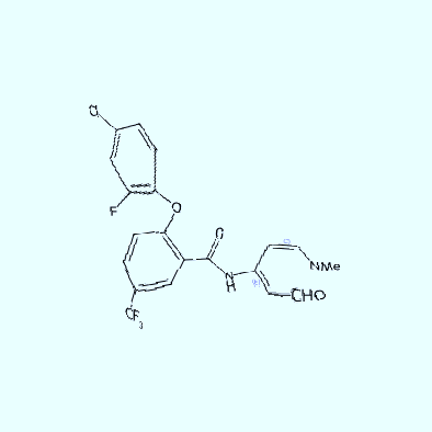 CN/C=C\C(=C/C=O)NC(=O)c1cc(C(F)(F)F)ccc1Oc1ccc(Cl)cc1F